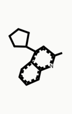 Cc1cc(C2CCCC2)c2ccccc2n1